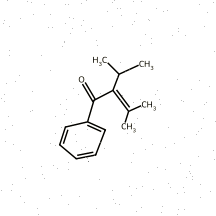 CC(C)=C(C(=O)c1ccccc1)C(C)C